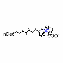 CCCCCCCCCCCCCCCCCCC[N+](C)(C)CC(=O)[O-]